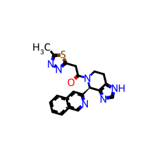 Cc1nnc(CC(=O)N2CCc3[nH]cnc3[C@H]2c2cc3ccccc3cn2)s1